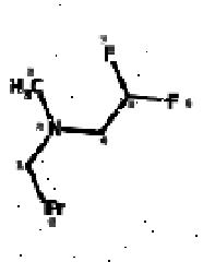 CC(C)CN(C)CC(F)F